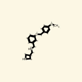 COc1ccc(COc2cccc(CNCC3CNC3)c2)cc1